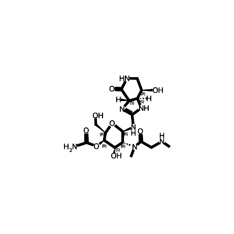 CNCC(=O)N(C)[C@@H]1[C@H](O)[C@@H](OC(N)=O)[C@@H](CO)O[C@H]1NC1=N[C@@H]2C(=O)NC[C@@H](O)[C@H]2N1